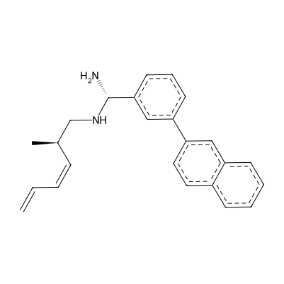 C=C/C=C\[C@@H](C)CN[C@H](N)c1cccc(-c2ccc3ccccc3c2)c1